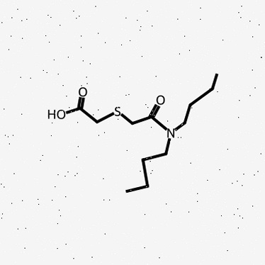 CCCCN(CCCC)C(=O)CSCC(=O)O